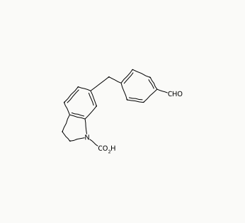 O=Cc1ccc(Cc2ccc3c(c2)N(C(=O)O)CC3)cc1